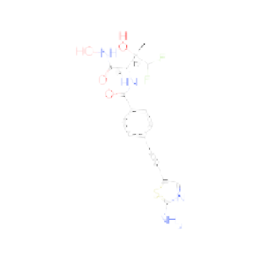 C[C@@](O)(C(F)F)[C@H](NC(=O)c1ccc(C#Cc2cnc(N)s2)cc1)C(=O)NO